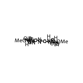 COC(=O)N[C@H](C(=O)N1CCC[C@H]1c1ncc(-c2ccc(-c3cnc(-c4ccc5[nH]c([C@@H]6CCCN6C(=O)[C@@H](NC(=O)OC)C(C)C)nc5c4)nc3)cc2)[nH]1)C(C)C